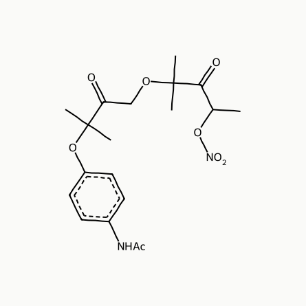 CC(=O)Nc1ccc(OC(C)(C)C(=O)COC(C)(C)C(=O)C(C)O[N+](=O)[O-])cc1